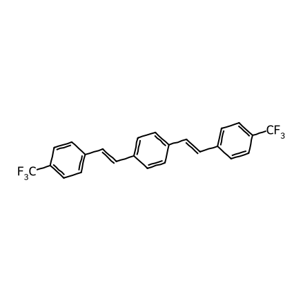 FC(F)(F)c1ccc(/C=C/c2ccc(/C=C/c3ccc(C(F)(F)F)cc3)cc2)cc1